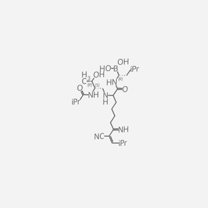 CC(C)C=C(C#N)C(=N)CCCCC(NC[C@H](NC(=O)C(C)C)[C@@H](C)O)C(=O)N[C@@H](CC(C)C)B(O)O